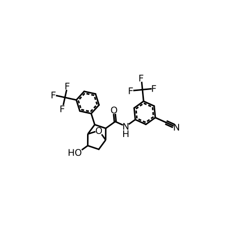 N#Cc1cc(NC(=O)C2C3CC(O)C(O3)C2c2cccc(C(F)(F)F)c2)cc(C(F)(F)F)c1